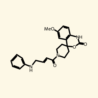 COc1ccc2c(c1)C1(CCN(C(=O)C=CCNc3ccccc3)CC1)OC(=O)N2